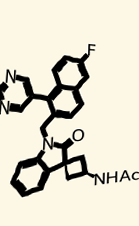 CC(=O)N[C@H]1C[C@]2(C1)C(=O)N(Cc1ccc3cc(F)ccc3c1-c1cncnc1)c1ccccc12